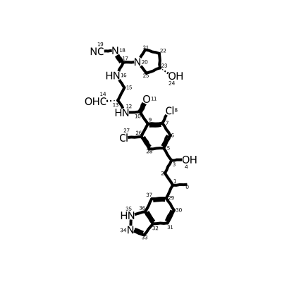 CC(CC(O)c1cc(Cl)c(C(=O)N[C@H](C=O)CN/C(=N\C#N)N2CC[C@H](O)C2)c(Cl)c1)c1ccc2cn[nH]c2c1